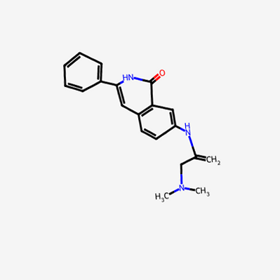 C=C(CN(C)C)Nc1ccc2cc(-c3ccccc3)[nH]c(=O)c2c1